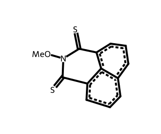 CON1C(=S)c2cccc3cccc(c23)C1=S